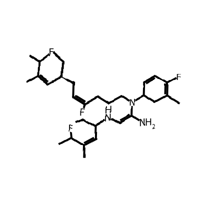 CCC(/C=C(/C)C(C)F)N/C=C(/N)N(CCC/C(F)=C\C[C@@H](/C=C(/C)C(C)F)CC)C1C=CC(F)=C(C)C1